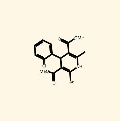 COC(=O)C1=C(C)NC(C(C)=O)=C(C(=O)OC)C1c1ccccc1Cl